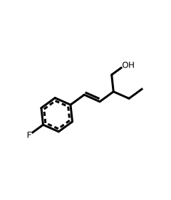 CCC(C=Cc1ccc(F)cc1)CO